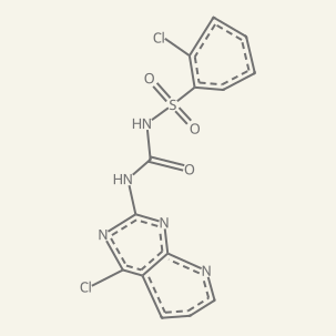 O=C(Nc1nc(Cl)c2cccnc2n1)NS(=O)(=O)c1ccccc1Cl